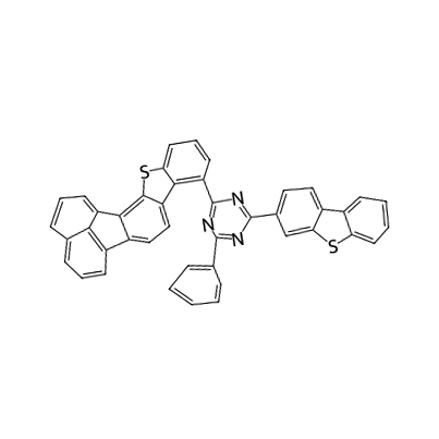 c1ccc(-c2nc(-c3ccc4c(c3)sc3ccccc34)nc(-c3cccc4sc5c6c(ccc5c34)-c3cccc4cccc-6c34)n2)cc1